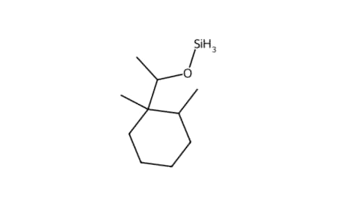 CC1CCCCC1(C)C(C)O[SiH3]